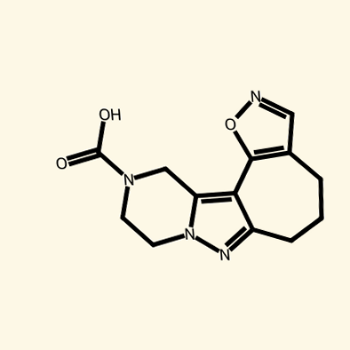 O=C(O)N1CCn2nc3c(c2C1)-c1oncc1CCC3